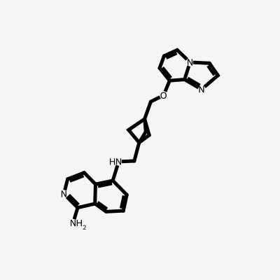 Nc1nccc2c(NCC34CC(COc5cccn6ccnc56)(C3)C4)cccc12